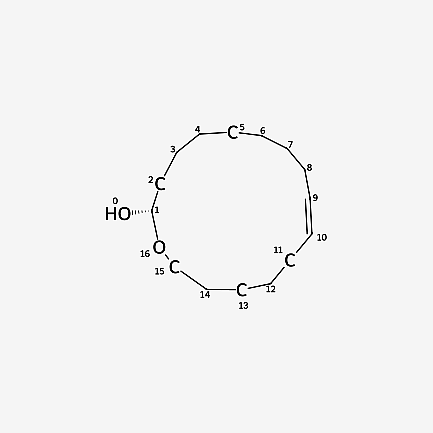 O[C@@H]1CCCCCCC/C=C\CCCCCO1